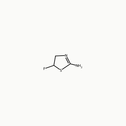 NC1=NCC(F)S1